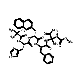 CCCCOC(=O)NC(CCCC)(NC(=O)C(Cc1ccccc1)NC(=O)[C@@H](Cc1ccc2ccccc2c1)NC(=O)[C@H](Cc1c[nH]cn1)NC(=O)C(C)(C)N)C(N)=O